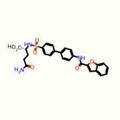 NC(=O)CC[C@@H](NS(=O)(=O)c1ccc(-c2ccc(NC(=O)c3cc4ccccc4o3)cc2)cc1)C(=O)O